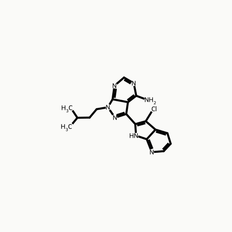 CC(C)CCn1nc(-c2[nH]c3ncccc3c2Cl)c2c(N)ncnc21